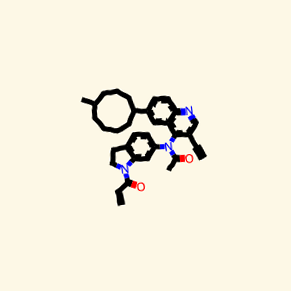 C#Cc1cnc2ccc(C3CCCCC(C)CCC3)cc2c1N(C(C)=O)c1ccc2c(c1)N(C(=O)C=C)CC2